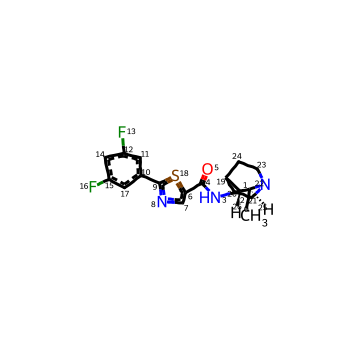 C[C@H]1[C@H](NC(=O)c2cnc(-c3cc(F)cc(F)c3)s2)C2CCN1CC2